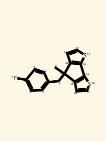 CC1(Cc2ccc(F)cc2)c2ccsc2-c2sccc21